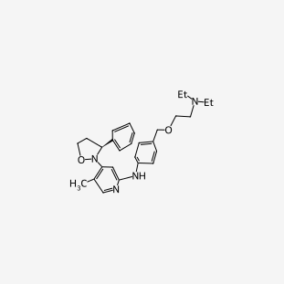 CCN(CC)CCOCc1ccc(Nc2cc(N3OCC[C@H]3c3ccccc3)c(C)cn2)cc1